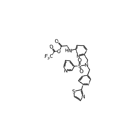 O=C(CNc1cccc(CN(Cc2ccc(-c3nccs3)cc2)S(=O)(=O)c2cccnc2)n1)OC(=O)C(F)(F)F